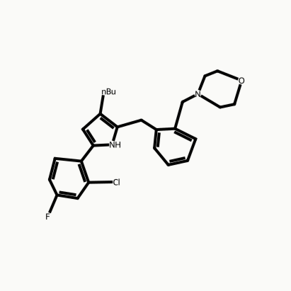 CCCCc1cc(-c2ccc(F)cc2Cl)[nH]c1Cc1ccccc1CN1CCOCC1